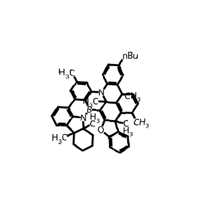 CCCCc1ccc2c(c1)C1(C)C=CC(C)C3=C1C1(C)C(=C4Oc5ccccc5C43C)B3c4c(cc(C)cc4N21)-c1cccc2c1N3C1(C)CCCCC21C